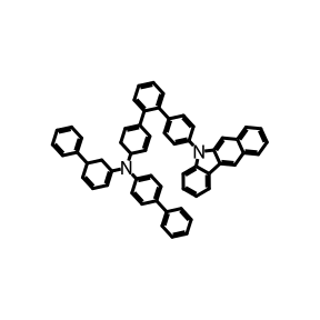 C1=CC(c2ccccc2)CC(N(c2ccc(-c3ccccc3)cc2)C2C=CC(c3ccccc3-c3ccc(-n4c5ccccc5c5cc6ccccc6cc54)cc3)=CC2)=C1